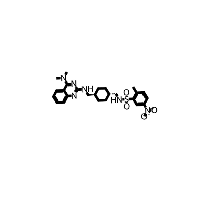 Cc1ccc([N+](=O)[O-])cc1S(=O)(=O)NC[C@H]1CC[C@H](CNc2nc(N(C)C)c3ccccc3n2)CC1